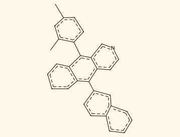 Cc1ccc(-c2c3ccccc3c(-c3ccc4ccccc4c3)c3ccncc23)c(C)c1